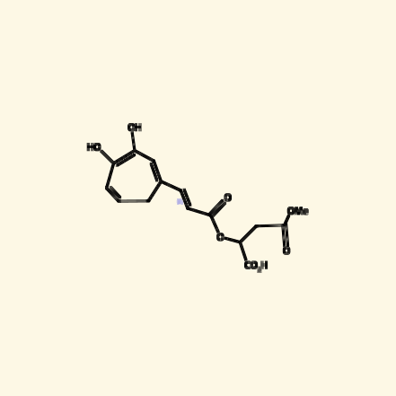 COC(=O)CC(OC(=O)/C=C/C1=CC(O)=C(O)C=CC1)C(=O)O